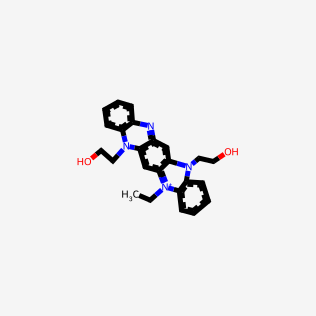 CC[N+]1=c2cc3c(cc2N(CCO)c2ccccc21)=Nc1ccccc1N3CCO